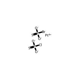 [O-]P([O-])(=S)Br.[O-]P([O-])(=S)Cl.[Pt+4]